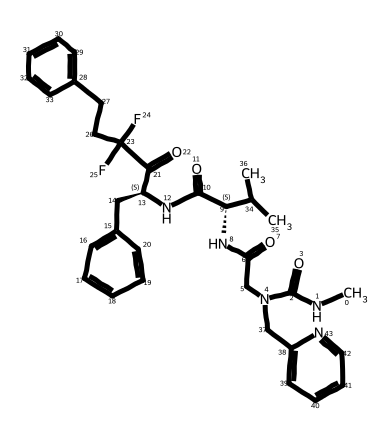 CNC(=O)N(CC(=O)N[C@H](C(=O)N[C@@H](Cc1ccccc1)C(=O)C(F)(F)CCc1ccccc1)C(C)C)Cc1ccccn1